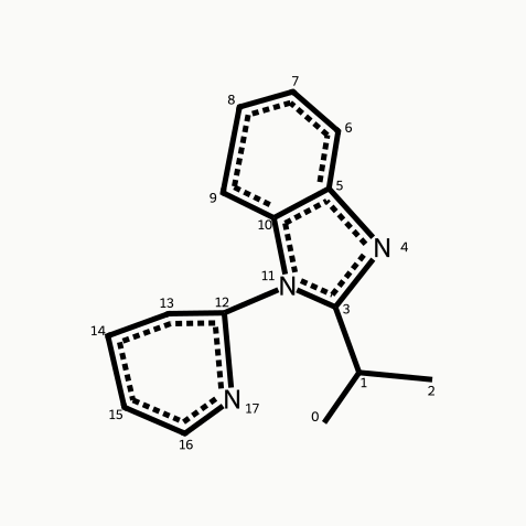 CC(C)c1nc2ccccc2n1-c1ccccn1